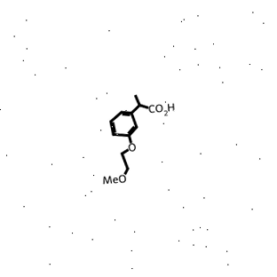 COCCOc1cccc(C(C)C(=O)O)c1